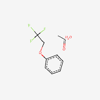 CC=O.FC(F)(F)COc1ccccc1.O